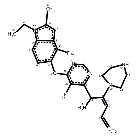 C=C/C=C(\C(N)c1ncnc(Oc2ccc3c(cc(C)n3CC)c2F)c1F)N1CCNCC1